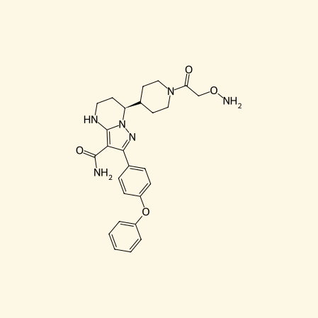 NOCC(=O)N1CCC([C@@H]2CCNc3c(C(N)=O)c(-c4ccc(Oc5ccccc5)cc4)nn32)CC1